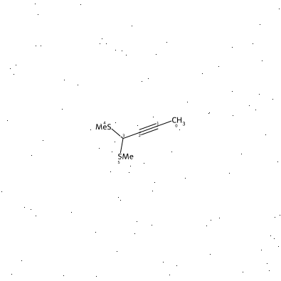 CC#CC(SC)SC